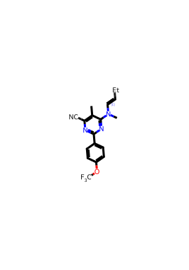 CC/C=C/N(C)c1nc(-c2ccc(OC(F)(F)F)cc2)nc(C#N)c1C